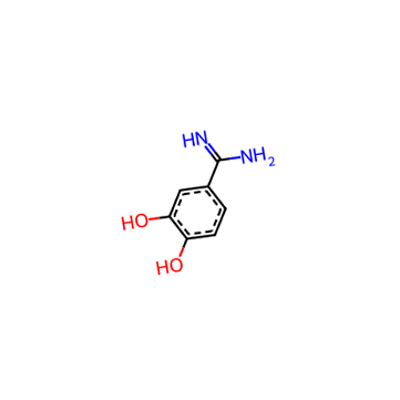 N=C(N)c1ccc(O)c(O)c1